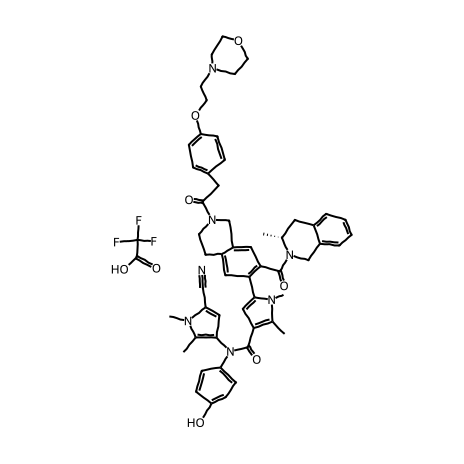 Cc1c(N(C(=O)c2cc(-c3cc4c(cc3C(=O)N3Cc5ccccc5C[C@H]3C)CN(C(=O)Cc3ccc(OCCN5CCOCC5)cc3)CC4)n(C)c2C)c2ccc(O)cc2)cc(C#N)n1C.O=C(O)C(F)(F)F